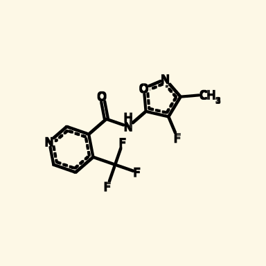 Cc1noc(NC(=O)c2cnccc2C(F)(F)F)c1F